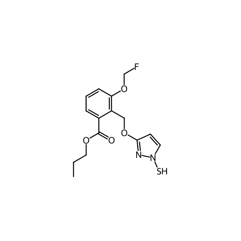 CCCOC(=O)c1cccc(OCF)c1COc1ccn(S)n1